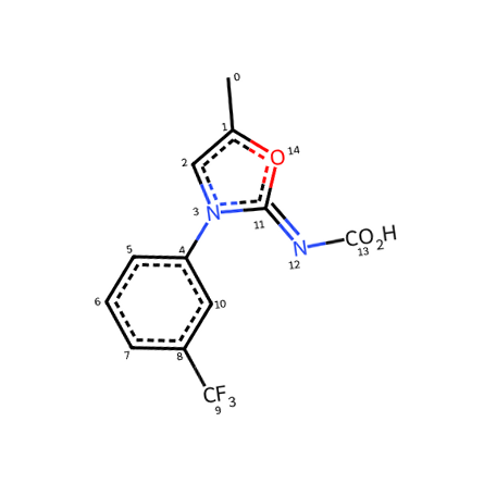 Cc1cn(-c2cccc(C(F)(F)F)c2)c(=NC(=O)O)o1